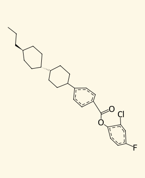 CCC[C@H]1CC[C@H](C2CCC(c3ccc(C(=O)Oc4ccc(F)cc4Cl)cc3)CC2)CC1